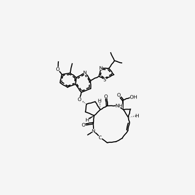 COc1ccc2c(O[C@@H]3C[C@H]4C(=O)N[C@]5(C(=O)O)C[C@H]5/C=C\CCCCN(C)C(=O)[C@@H]4C3)cc(-c3nc(C(C)C)cs3)nc2c1C